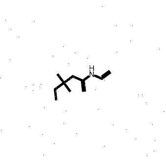 C=CNC(=C)CC(C)(C)CC